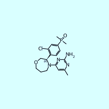 Cc1cc(N2CCCOC[C@H]2c2ccc(P(C)(C)=O)cc2Cl)nc(N)n1